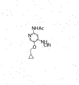 CC(=O)Nc1cc(N)c(OCC2CC2)cn1.Cl